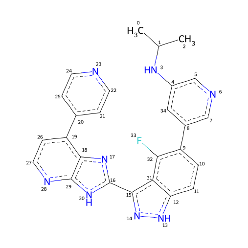 CC(C)Nc1cncc(-c2ccc3[nH]nc(-c4nc5c(-c6ccncc6)ccnc5[nH]4)c3c2F)c1